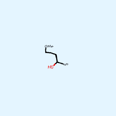 CCCC(O)CCOC